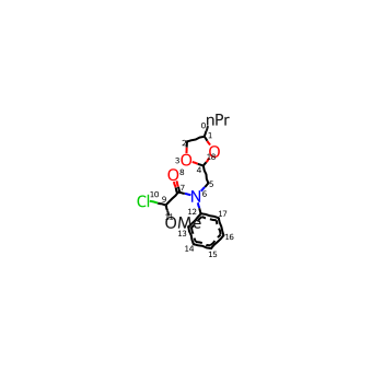 CCCC1COC(CN(C(=O)C(Cl)OC)c2ccccc2)O1